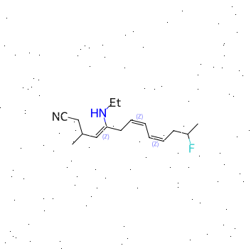 CCN/C(=C\C(C)CC#N)C/C=C\C=C/CC(C)F